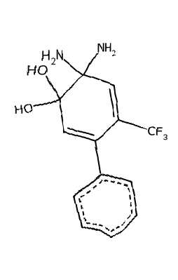 NC1(N)C=C(C(F)(F)F)C(c2ccccc2)=CC1(O)O